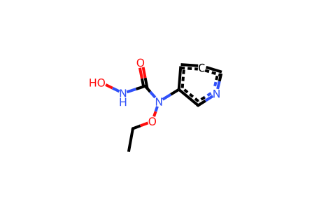 CCON(C(=O)NO)c1cccnc1